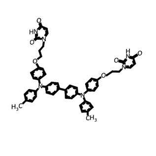 Cc1ccc(N(c2ccc(OCCCn3ccc(=O)[nH]c3=O)cc2)c2ccc(-c3ccc(N(c4ccc(C)cc4)c4ccc(OCCCn5ccc(=O)[nH]c5=O)cc4)cc3)cc2)cc1